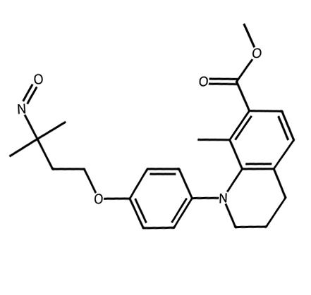 COC(=O)c1ccc2c(c1C)N(c1ccc(OCCC(C)(C)N=O)cc1)CCC2